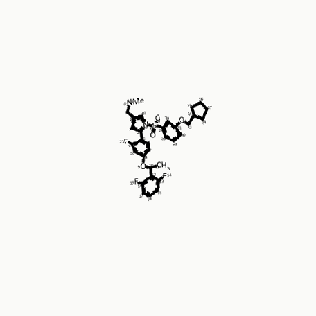 CNCc1cc(-c2ccc(OC(C)c3c(F)cccc3F)cc2F)n(S(=O)(=O)c2cccc(OCC3CCCC3)c2)c1